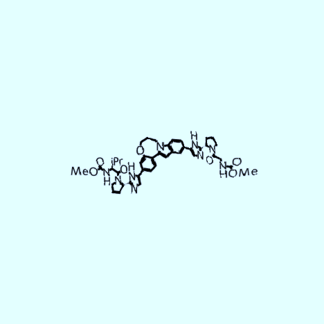 COC(=O)NCC(=O)N1CCC[C@H]1c1ncc(-c2ccc3c(c2)cc2n3CCCOc3cc(-c4cnc([C@@H]5CCCN5C(=O)[C@@H](NC(=O)OC)C(C)C)[nH]4)ccc3-2)[nH]1